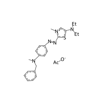 CC(=O)[O-].CCN(CC)c1c[n+](C)c(N=Nc2ccc(N(C)Cc3ccccc3)cc2)s1